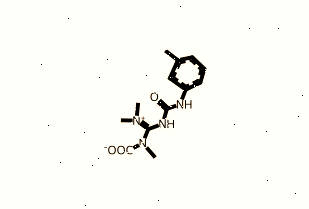 Cc1cccc(NC(=O)NC(N(C)C(=O)[O-])=[N+](C)C)c1